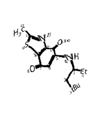 [CH2]CC(CC(C)(C)C)NC1=CC(=O)c2sc(C)nc2C1=O